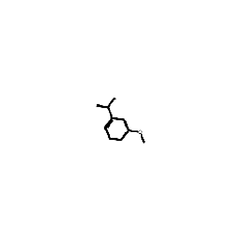 COC1CCC=C(C(C)C)C1